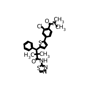 CN(C)C(=O)c1ccc(-c2ccc(C(c3ccccc3)C(C)(C)C(=O)Nc3nncs3)s2)cc1Cl